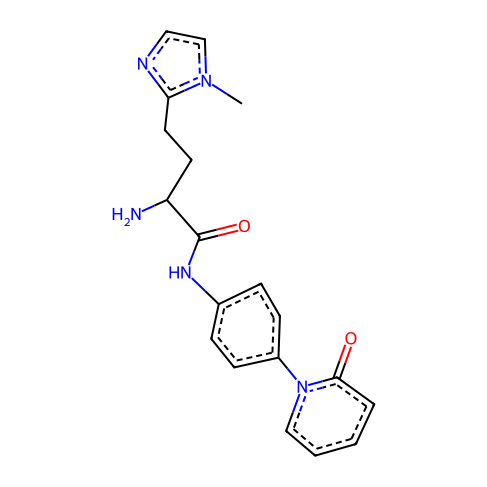 Cn1ccnc1CCC(N)C(=O)Nc1ccc(-n2ccccc2=O)cc1